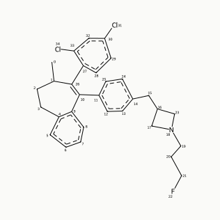 CC1CCc2ccccc2C(c2ccc(CC3CN(CCCF)C3)cc2)=C1c1ccc(Cl)cc1Cl